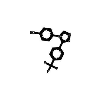 Oc1ccc(-n2cnnc2-c2ccc(C(F)(F)F)cc2)cc1